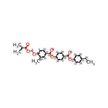 C=C(C)C(=O)OCOc1ccc(C(=O)Oc2ccc(C(=O)Oc3ccc(CC)cc3)cc2)cc1C